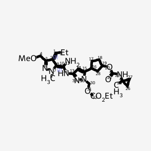 CC/C=c1/c(COC)nn(C)/c1=C(/N)Nc1cc(C2CCC(OC(=O)NC3(C)CC3)C2)n(COC(=O)OCC)n1